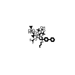 CCCCS[C@@]1(c2ccc(-c3ccccc3)cc2)C[C@@H](C(=O)N[C@]2(C(=O)NS(=O)(=O)C3CC3)C[C@H]2CC(F)F)N(C(=O)[C@@H](N(C(=O)O)C(C)(C)C)C(C)(C)C)C1